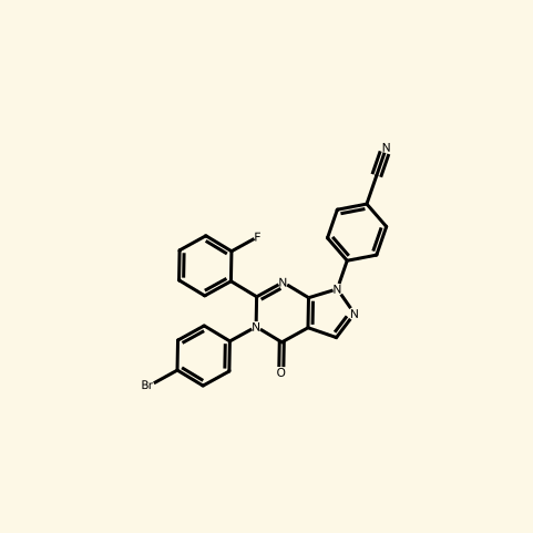 N#Cc1ccc(-n2ncc3c(=O)n(-c4ccc(Br)cc4)c(-c4ccccc4F)nc32)cc1